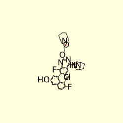 C#Cc1c(F)ccc2cc(O)cc(-c3c(Cl)cc4c(N5CC6CCC(C5)N6)nc(OCCCN5C6CCCC5COC6)nc4c3F)c12